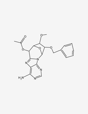 COC1C2OC(C1OCc1ccccc1)n1c(nc3c(N)ncnc31)C2OC(C)=O